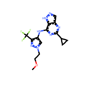 COCCn1cc(Nc2nc(C3CC3)nc3cn[nH]c23)c(C(F)(F)F)n1